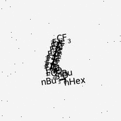 CCCCCCC(=O)CS(CCCC)(CCCC)OS(=O)(=O)C(F)(F)C(F)(F)C(F)(F)C(F)(F)C(F)(F)C(F)(F)C(F)(F)C(F)(F)F